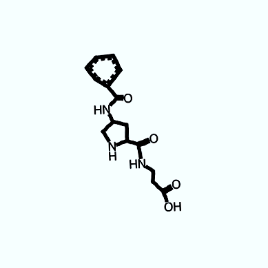 O=C(O)CCNC(=O)C1CC(NC(=O)c2ccccc2)CN1